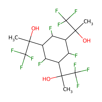 CC(O)(C1C(F)C(C(C)(O)C(F)(F)F)C(F)C(C(C)(O)C(F)(F)F)C1F)C(F)(F)F